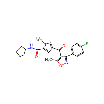 Cc1onc(-c2ccc(F)cc2)c1C(=O)c1cc(C(=O)NC2CCCC2)n(C)c1